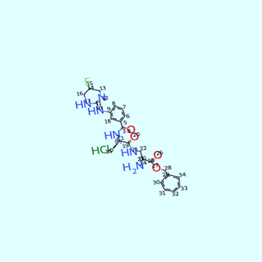 C[C@@H](NC(=O)c1cccc(NC2=NCC(F)CN2)c1)C(=O)NC[C@H](N)C(=O)OCc1ccccc1.Cl